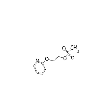 CS(=O)(=O)OCCOc1ccccn1